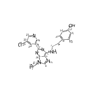 CC(C)n1cnc2c(NCCc3ccc(O)cc3)nc(-c3cncc(Cl)c3)nc21